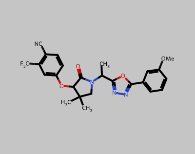 COc1cccc(-c2nnc(C(C)N3CC(C)(C)C(Oc4ccc(C#N)c(C(F)(F)F)c4)C3=O)o2)c1